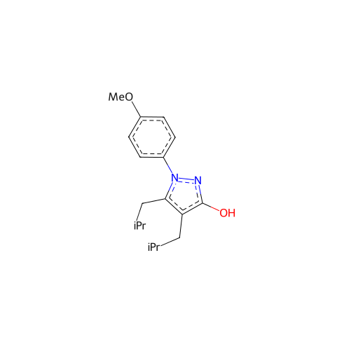 COc1ccc(-n2nc(O)c(CC(C)C)c2CC(C)C)cc1